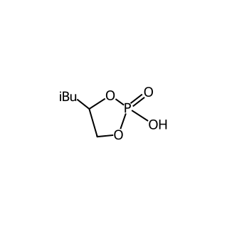 CCC(C)C1COP(=O)(O)O1